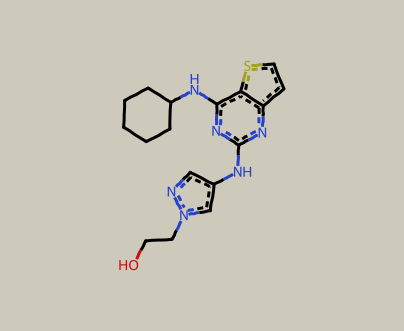 OCCn1cc(Nc2nc(NC3CCCCC3)c3sccc3n2)cn1